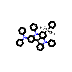 C[Si](C)(c1ccccc1)c1cc2c3c(c1)N(c1ccccc1)c1cc(N(c4ccccc4)c4ccccc4)ccc1B3c1ccccc1N2c1ccccc1